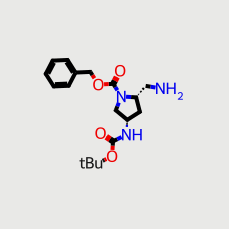 CC(C)(C)OC(=O)N[C@H]1C[C@@H](CN)N(C(=O)OCc2ccccc2)C1